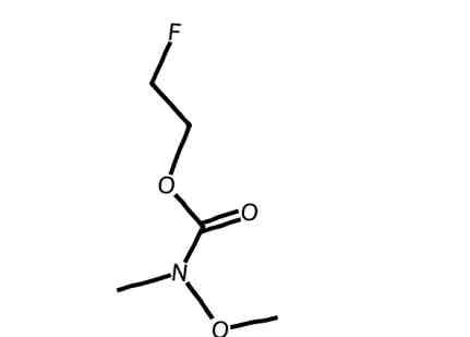 CON(C)C(=O)OCCF